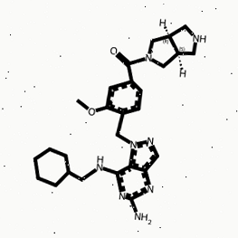 COc1cc(C(=O)N2C[C@H]3CNC[C@H]3C2)ccc1Cn1ncc2nc(N)nc(NCC3CCCCC3)c21